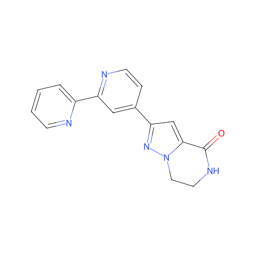 O=C1NCCn2nc(-c3ccnc(-c4ccccn4)c3)cc21